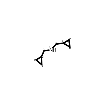 C1CC1CNCC1CC1